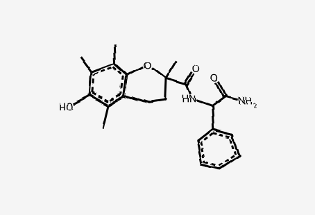 Cc1c(C)c2c(c(C)c1O)CCC(C)(C(=O)NC(C(N)=O)c1ccccc1)O2